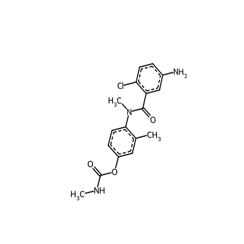 CNC(=O)Oc1ccc(N(C)C(=O)c2cc(N)ccc2Cl)c(C)c1